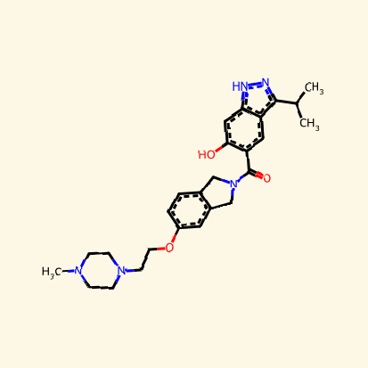 CC(C)c1n[nH]c2cc(O)c(C(=O)N3Cc4ccc(OCCN5CCN(C)CC5)cc4C3)cc12